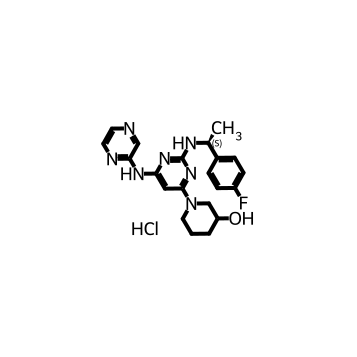 C[C@H](Nc1nc(Nc2cnccn2)cc(N2CCCC(O)C2)n1)c1ccc(F)cc1.Cl